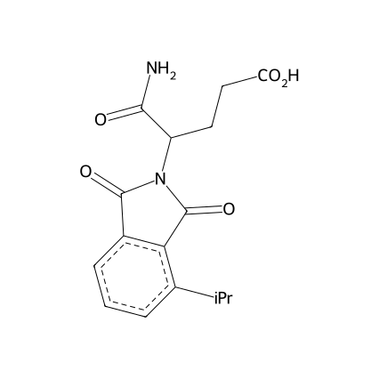 CC(C)c1cccc2c1C(=O)N(C(CCC(=O)O)C(N)=O)C2=O